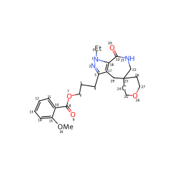 CCn1nc(CCCOC(=O)c2ccccc2OC)c2c1C(=O)NCC1(CCOCC1)C2